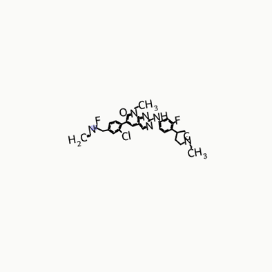 C=C/N=C(/F)Cc1ccc(-c2cc3cnc(Nc4ccc(C5CCN(CC)CC5)c(F)c4)nc3n(CC)c2=O)c(Cl)c1